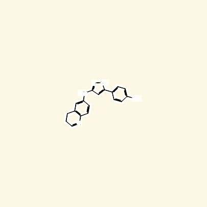 Oc1ccc(-c2cc(Nc3ccc4c(c3)CCC=N4)n[nH]2)cc1